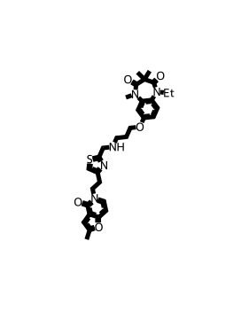 CCN1C(=O)C(C)(C)C(=O)N(C)c2cc(OCCCNCc3nc(CCn4ccc5oc(C)cc5c4=O)cs3)ccc21